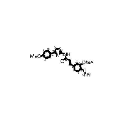 CCCOc1ccc(C=CC(=O)Nc2nc(-c3ccc(OC)cc3)cs2)cc1OC